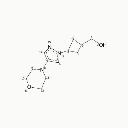 OCC1CC(n2cc(N3CCOCC3)cn2)C1